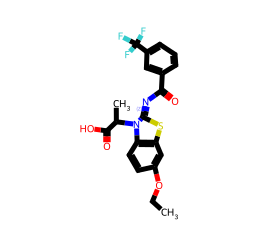 CCOc1ccc2c(c1)s/c(=N\C(=O)c1cccc(C(F)(F)F)c1)n2C(C)C(=O)O